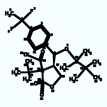 CC(F)(F)c1ccc(C(O[Si](C)(C)C(C)(C)C)[C@H]2COS(=O)(=O)[N+]2(C(=O)[O-])C(C)(C)C)cc1